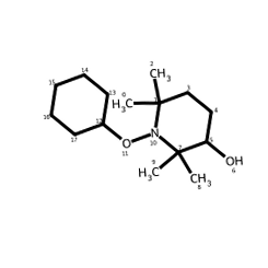 CC1(C)CCC(O)C(C)(C)N1OC1CCCCC1